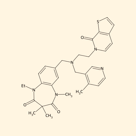 CCN1C(=O)C(C)(C)C(=O)N(C)c2cc(CN(CCn3ccc4ccsc4c3=O)Cc3cnccc3C)ccc21